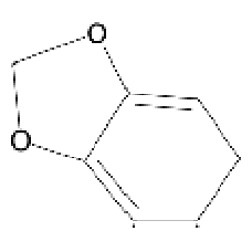 [C]1=C2OCOC2=CC[CH]1